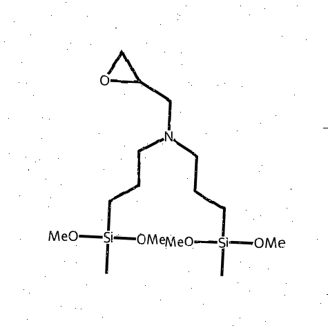 CO[Si](C)(CCCN(CCC[Si](C)(OC)OC)CC1CO1)OC